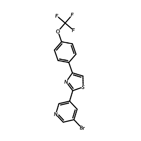 FC(F)(F)Oc1ccc(-c2csc(-c3cncc(Br)c3)n2)cc1